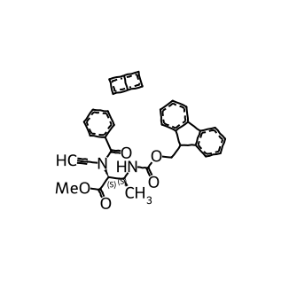 C#CN(C(=O)c1ccccc1)[C@H](C(=O)OC)[C@H](C)NC(=O)OCC1c2ccccc2-c2ccccc21.c1cc2ccc1-2